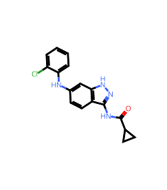 O=C(Nc1n[nH]c2cc(Nc3ccccc3Cl)ccc12)C1CC1